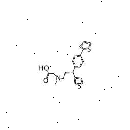 CN(CC=C(c1ccc(-c2cccs2)cc1)c1ccsc1)CC(=O)O